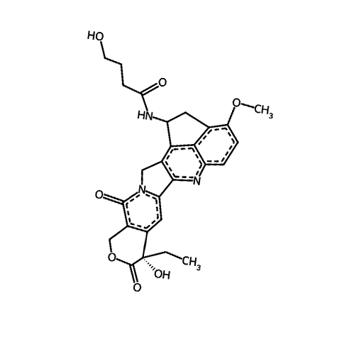 CC[C@@]1(O)C(=O)OCc2c1cc1n(c2=O)Cc2c-1nc1ccc(OC)c3c1c2C(NC(=O)CCCO)C3